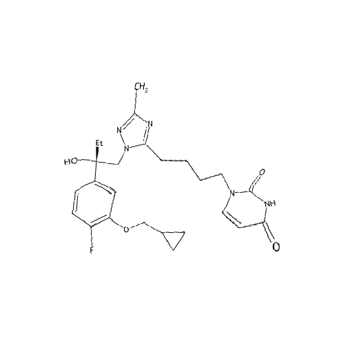 CC[C@@](O)(Cn1nc(C)nc1CCCCn1ccc(=O)[nH]c1=O)c1ccc(F)c(OCC2CC2)c1